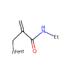 C=C(CCCCCC)C(=O)NCC